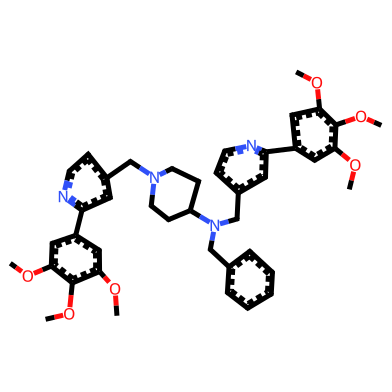 COc1cc(-c2cc(CN3CCC(N(Cc4ccccc4)Cc4ccnc(-c5cc(OC)c(OC)c(OC)c5)c4)CC3)ccn2)cc(OC)c1OC